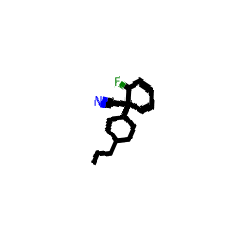 CCCC1CCC(C2(C#N)C=CC=CC2F)CC1